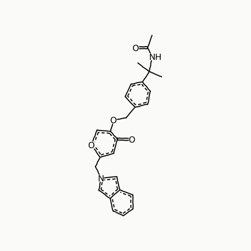 CC(=O)NC(C)(C)c1ccc(COc2coc(Cn3cc4ccccc4c3)cc2=O)cc1